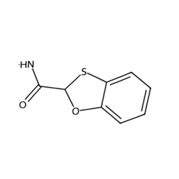 [NH]C(=O)C1Oc2ccccc2S1